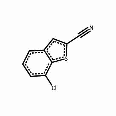 N#Cc1cc2cccc(Cl)c2s1